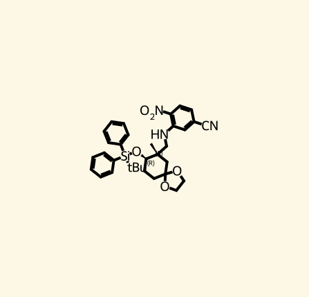 CC(C)(C)[Si](O[C@@H]1CCC2(C[C@@]1(C)CNc1cc(C#N)ccc1[N+](=O)[O-])OCCO2)(c1ccccc1)c1ccccc1